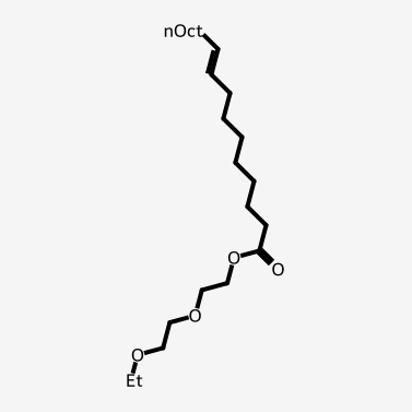 CCCCCCCCC=CCCCCCCCC(=O)OCCOCCOCC